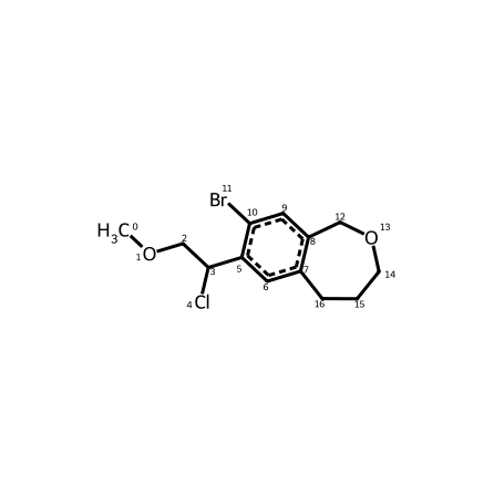 COCC(Cl)c1cc2c(cc1Br)COCCC2